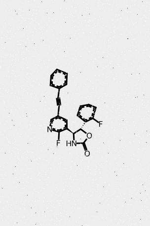 O=C1N[C@@H](c2cc(C#Cc3ccccc3)cnc2F)[C@H](c2ccccc2F)O1